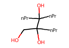 CCCC(O)(CO)C(O)(CCC)CCC